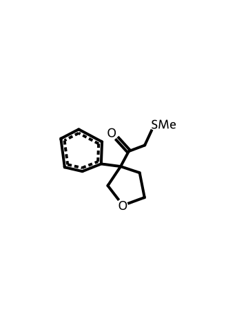 CSCC(=O)C1(c2ccccc2)CCOC1